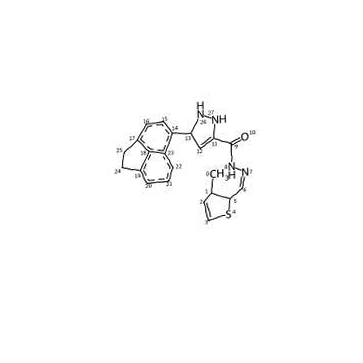 CC1C=CSC1/C=N\NC(=O)C1=CC(c2ccc3c4c(cccc24)CC3)NN1